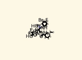 CCN1CCCC(C(=O)Nc2nonc2/C(=N\O)Nc2ccc(F)c(Br)c2)C1.O=C(O)C(F)(F)F